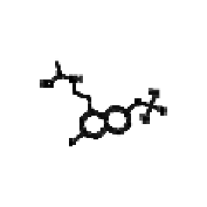 [2H]C([2H])([2H])Oc1ccc2cc(F)cc(CCNB(C)O)c2c1